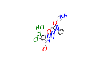 COCCCc1cc(Cl)c(Cl)cc1NC(=O)Nc1c(C)c(OC2CCNCC2)nn1-c1ccccc1.Cl